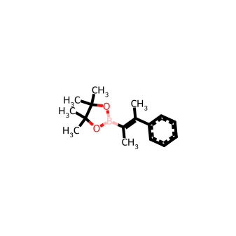 CC(B1OC(C)(C)C(C)(C)O1)=C(C)c1ccccc1